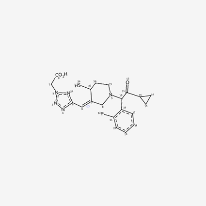 O=C(O)Cn1nnc(/C=C2/CN(C(C(=O)C3CC3)c3ccccc3F)CCC2S)n1